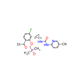 CCC(=O)c1ccc(F)c([C@@H]2C[C@@H]2NC(=O)Nc2ccc(C#N)cn2)c1OCP(C)(C)=O